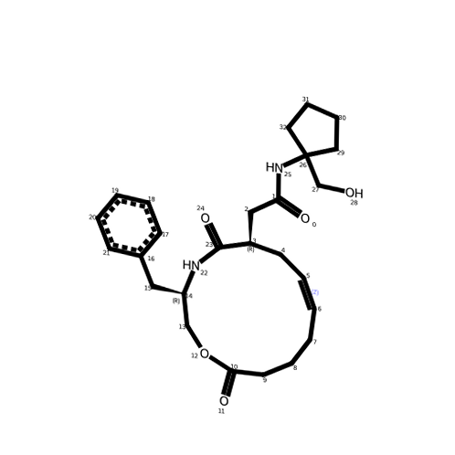 O=C(C[C@H]1C/C=C\CCCC(=O)OC[C@@H](Cc2ccccc2)NC1=O)NC1(CO)CCCC1